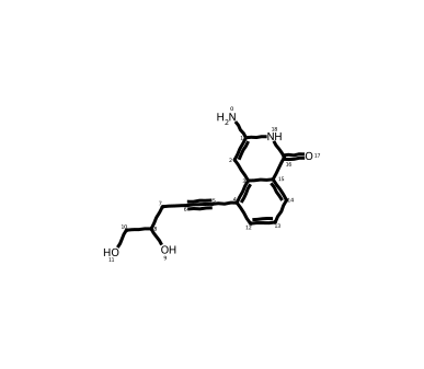 Nc1cc2c(C#CCC(O)CO)cccc2c(=O)[nH]1